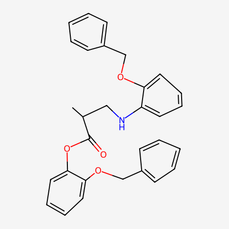 CC(CNc1ccccc1OCc1ccccc1)C(=O)Oc1ccccc1OCc1ccccc1